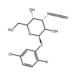 [N-]=[N+]=N[C@@H]1C(O)[C@@H](Sc2cc(Cl)ccc2F)OC(CO)[C@@H]1O